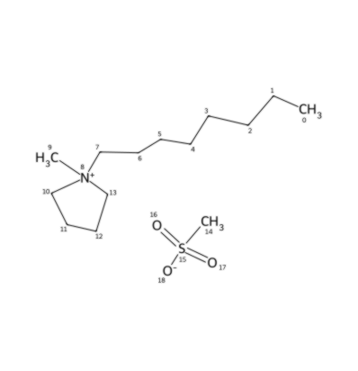 CCCCCCCC[N+]1(C)CCCC1.CS(=O)(=O)[O-]